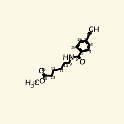 C#Cc1ccc(C(=O)NCCCCCC(=O)OC)cc1